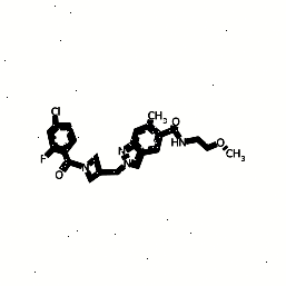 COCCNC(=O)c1cc2cn(CC3CN(C(=O)c4ccc(Cl)cc4F)C3)nc2cc1C